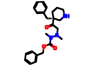 CN(CC(=O)[C@@]1(Cc2ccccc2)CCCNC1)N(C)C(=O)OCc1ccccc1